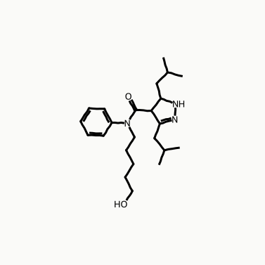 CC(C)CC1=NNC(CC(C)C)C1C(=O)N(CCCCCO)c1ccccc1